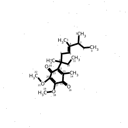 CCC(C)/C(C)=C/CC(C)(CC)C1=C(C)C(=O)C(OC)=C(OC)C1=O